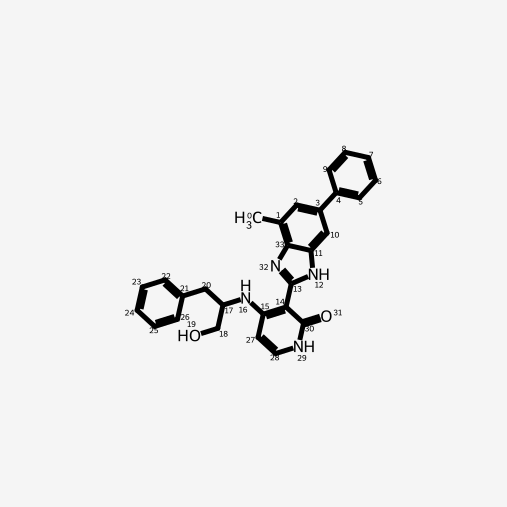 Cc1cc(-c2ccccc2)cc2[nH]c(-c3c(NC(CO)Cc4ccccc4)cc[nH]c3=O)nc12